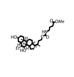 CC[C@H]1[C@@H](O)[C@@H]2[C@H](CC[C@]3(C)[C@@H]([C@H](C)CCOC(=O)NCCCC(=O)OC)CC[C@@H]23)[C@@]2(C)CC[C@@H](O)C[C@@H]12